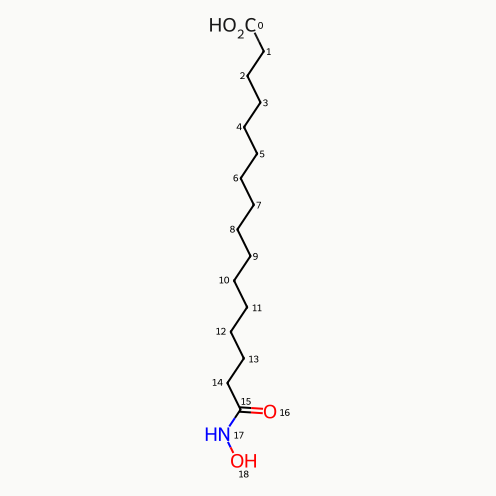 O=C(O)CCCCCCCCCCCCCCC(=O)NO